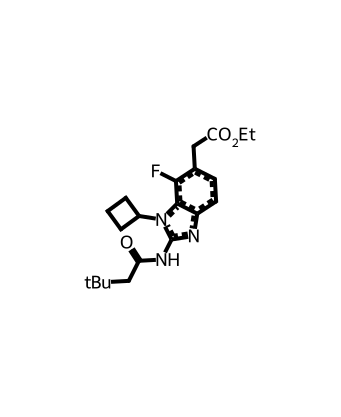 CCOC(=O)Cc1ccc2nc(NC(=O)CC(C)(C)C)n(C3CCC3)c2c1F